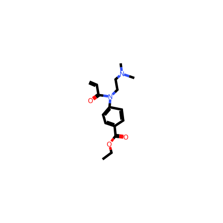 C=CC(=O)N(CCN(C)C)c1ccc(C(=O)OCC)cc1